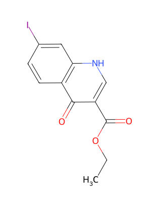 CCOC(=O)c1c[nH]c2cc(I)ccc2c1=O